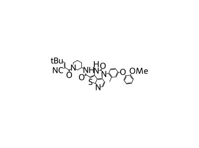 COc1ccccc1Oc1ccc(N2C(=O)Nc3c(C(=O)NC4CCCN(C(=O)C(C#N)=CC(C)(C)C)C4)sc4nccc2c34)c(C)c1